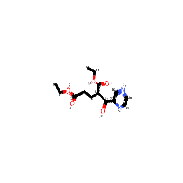 CCOC(=O)CCC(C(=O)OCC)C(=O)c1cnccn1